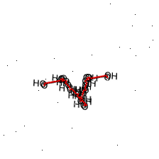 C[C@@H](CCCCNC(=O)[C@H](CCCCNC(=O)COCCOCCNC(=O)COCCOCCNC(=O)CC[C@H](NC(=O)CCCCCCCCCCCCCCCCCCC(=O)O)C(=O)O)NC(=O)COCCOCCNC(=O)COCCOCCNC(=O)CC[C@H](NC(=O)CCCCCCCCCCCCCCCCCCC(=O)O)C(=O)O)C(=O)O